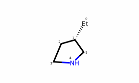 CC[C@H]1CCNC1